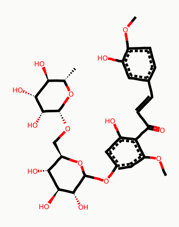 COc1ccc(C=CC(=O)c2c(O)cc(OC3O[C@H](CO[C@H]4O[C@@H](C)[C@H](O)[C@@H](O)[C@H]4O)[C@@H](O)[C@H](O)[C@H]3O)cc2OC)cc1O